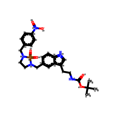 CC(C)(C)OC(=O)NCCc1c[nH]c2ccc(CN3CCN(Cc4ccc([N+](=O)[O-])cc4)S3(=O)=O)cc12